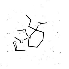 CC=O.CCCC1(OC)CCCC[Si]1(OC)OC